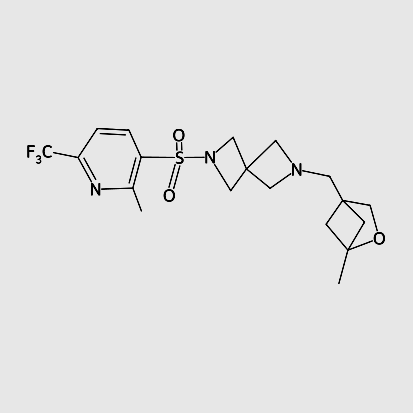 Cc1nc(C(F)(F)F)ccc1S(=O)(=O)N1CC2(CN(CC34COC(C)(C3)C4)C2)C1